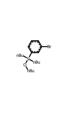 CCCCO[Si](CCCC)(CCCC)c1cccc(Br)c1